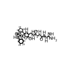 N=C(N)NBC(=O)NCC(=O)NCC(NC(=O)C1CCCN1S(=O)(=O)Bc1ccccc1)C(=O)O